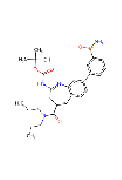 CCCN(CCC)C(=O)C1=Cc2ccc(-c3cccc([S+](N)[O-])c3)cc2N=C(NC(=O)OC(C)(C)C)C1